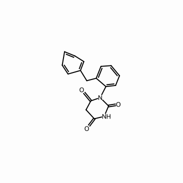 O=C1CC(=O)N(c2ccccc2Cc2ccccc2)C(=O)N1